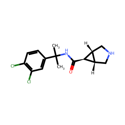 CC(C)(NC(=O)[C@H]1[C@@H]2CNC[C@@H]21)c1ccc(Cl)c(Cl)c1